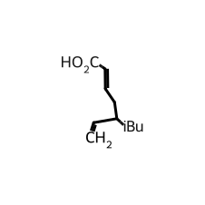 C=CC(CC=CC(=O)O)C(C)CC